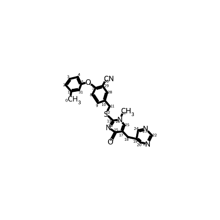 Cc1cccc(Oc2ccc(CSc3nc(=O)c(Cc4cncnc4)cn3C)cc2C#N)c1